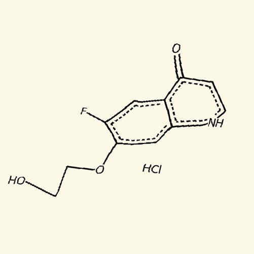 Cl.O=c1cc[nH]c2cc(OCCO)c(F)cc12